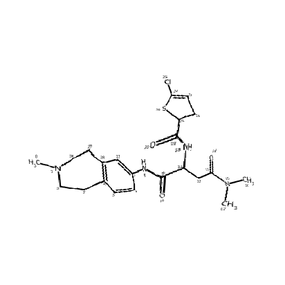 CN1CCc2ccc(NC(=O)C(CC(=O)N(C)C)NC(=O)C3CC=C(Cl)S3)cc2CC1